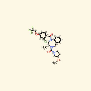 CO[C@H]1CCN(C(=O)N2Cc3ccccc3N(C(=O)c3ccc(OCC(F)(F)F)cc3Cl)C[C@H]2C)C1